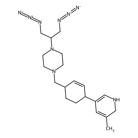 CC1=CC(C2C=CC(CN3CCN(C(CN=[N+]=[N-])CN=[N+]=[N-])CC3)CC2)=CNC1